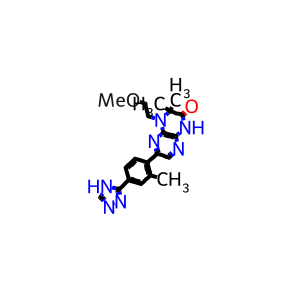 COCCN1c2nc(-c3ccc(-c4nnc[nH]4)cc3C)cnc2NC(=O)C1(C)C